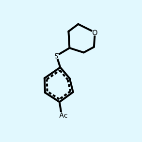 CC(=O)c1ccc(SC2CCOCC2)cc1